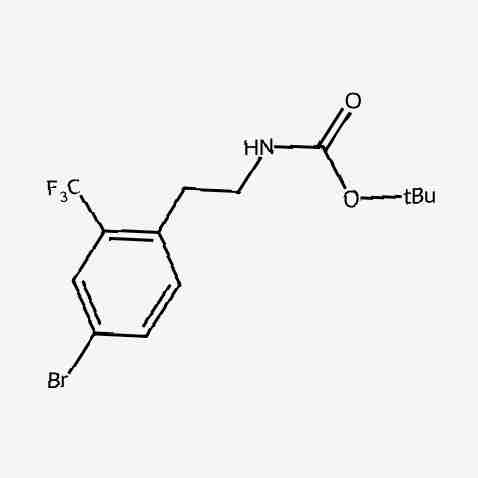 CC(C)(C)OC(=O)NCCc1ccc(Br)cc1C(F)(F)F